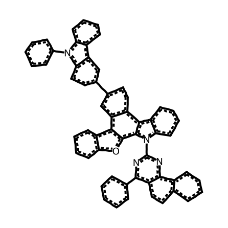 c1ccc(-c2nc(-n3c4ccccc4c4c5ccc(-c6ccc7c(c6)c6ccccc6n7-c6ccccc6)cc5c5c6ccccc6oc5c43)nc3c2ccc2ccccc23)cc1